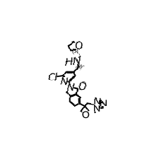 C[C@@H](NC[C@@H]1CCCO1)c1cc(Cl)nc(N2Cc3ccc(C4(Cc5nncn5C)COC4)cc3C2=O)c1